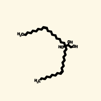 CCCCCCCC/C=C\CCCCCCCCC(O)(CCCCCCCC/C=C\CCCCCCCC)[C@@H](O)CO